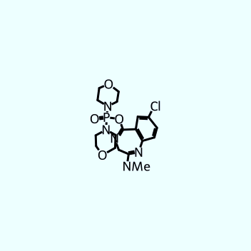 CNC1=Nc2ccc(Cl)cc2C(OP(=O)(N2CCOCC2)N2CCOCC2)=NC1